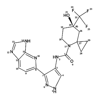 O=C(Nc1c[nH]nc1-c1ccc2nc[nH]c2n1)N1CC[C@](O)(C(F)(F)F)CC12CC2